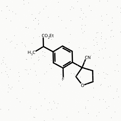 CCOC(=O)C(C)c1ccc(C2(C#N)CCOC2)c(F)c1